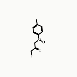 Cc1ccc([S+]([O-])CC(=O)CF)cc1